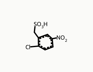 O=[N+]([O-])c1ccc(Cl)c(CS(=O)(=O)O)c1